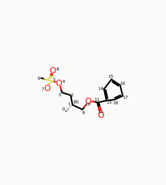 C[C@H](CCOS(C)(=O)=O)COC(=O)c1ccccc1